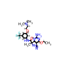 CCOc1nc(N)nc([C@@](C)(N)C(=O)Nc2cc(OCCN(C)C)cc(C(F)(F)F)c2)c1C#N